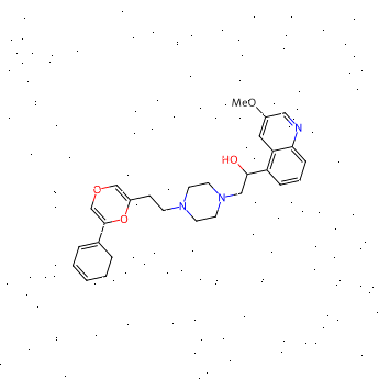 COc1cnc2cccc(C(O)CN3CCN(CCC4=COC=C(C5=CC=CCC5)O4)CC3)c2c1